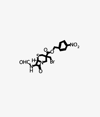 O=CNC1C(=O)N2CC(CBr)(C(=O)OCc3ccc([N+](=O)[O-])cc3)CS[C@H]12